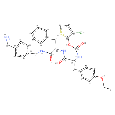 CCOc1ccc(C[C@@H](NC(=O)Oc2sccc2Cl)C(=O)N[C@@H](Cc2ccccc2)C(=O)NCc2ccc(CN)cc2)cc1